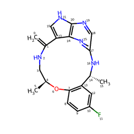 C=C1NC[C@H](C)Oc2ccc(F)cc2[C@@H](C)Nc2cnc3[nH]cc1c3n2